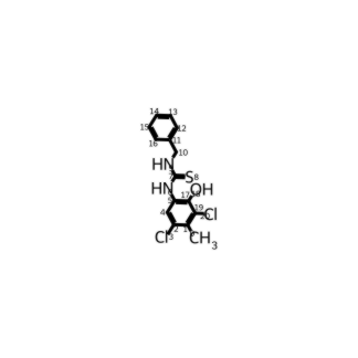 Cc1c(Cl)cc(NC(=S)NCc2ccccc2)c(O)c1Cl